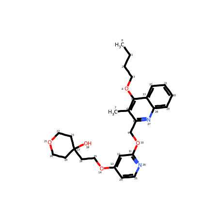 CCCCOc1c(C)c(COc2cc(OCCC3(O)CCOCC3)ccn2)nc2ccccc12